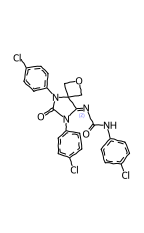 O=C(/N=C1\N(c2ccc(Cl)cc2)C(=O)N(c2ccc(Cl)cc2)C12COC2)Nc1ccc(Cl)cc1